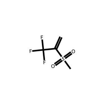 C=C(C(F)(F)F)S(C)(=O)=O